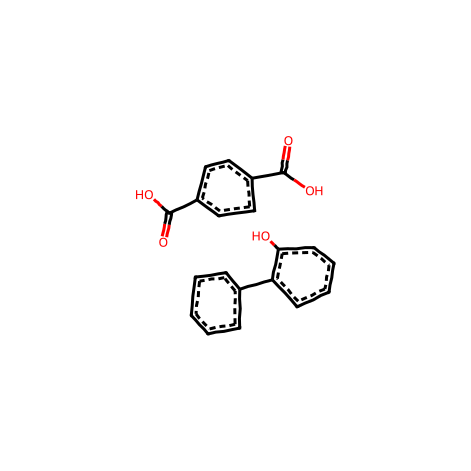 O=C(O)c1ccc(C(=O)O)cc1.Oc1ccccc1-c1ccccc1